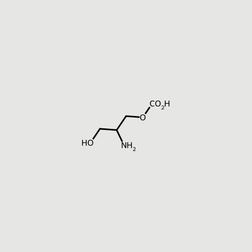 NC(CO)COC(=O)O